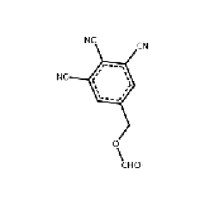 N#Cc1cc(CO[C]=O)cc(C#N)c1C#N